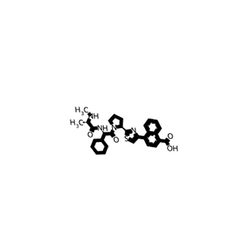 CN[C@@H](C)C(=O)N[C@H](C(=O)N1CCC[C@H]1c1nc(-c2ccc(C(=O)O)c3ccccc23)cs1)C1CCCCC1